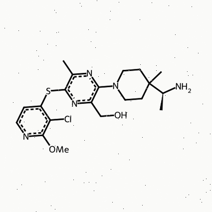 COc1nccc(Sc2nc(CO)c(N3CCC(C)([C@H](C)N)CC3)nc2C)c1Cl